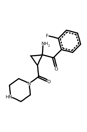 NC1(C(=O)c2ccccc2F)CC1C(=O)N1CCNCC1